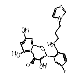 O=c1c(O)c(-c2cc(F)ccc2NCCCn2ccnc2)oc2cc(O)cc(O)c12